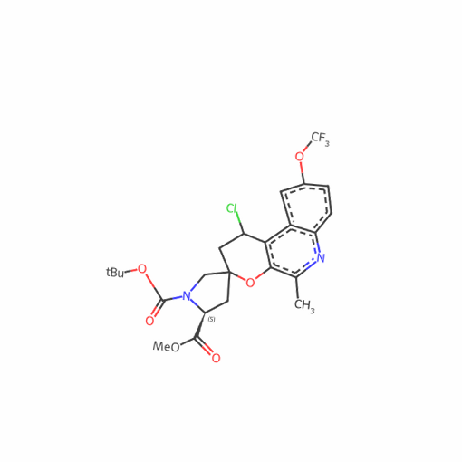 COC(=O)[C@@H]1CC2(CC(Cl)c3c(c(C)nc4ccc(OC(F)(F)F)cc34)O2)CN1C(=O)OC(C)(C)C